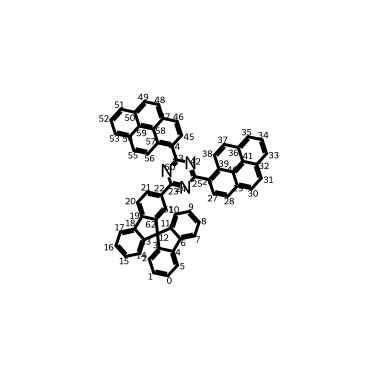 c1ccc2c(c1)-c1ccccc1C21c2ccccc2-c2ccc(-c3nc(-c4ccc5ccc6cccc7ccc4c5c67)nc(-c4ccc5ccc6cccc7ccc4c5c67)n3)cc21